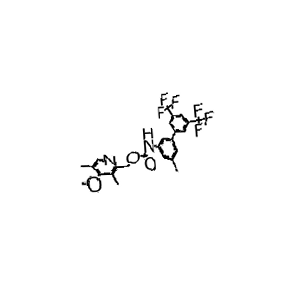 COc1c(C)cnc(COC(=O)Nc2cc(C)cc(-c3cc(C(F)(F)F)cc(C(F)(F)F)c3)c2)c1C